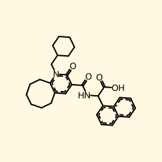 O=C(NC(C(=O)O)c1cccc2ccccc12)c1cc2c(n(CC3CCCCC3)c1=O)CCCCCC2